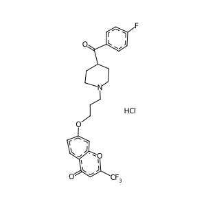 Cl.O=C(c1ccc(F)cc1)C1CCN(CCCOc2ccc3c(=O)cc(C(F)(F)F)oc3c2)CC1